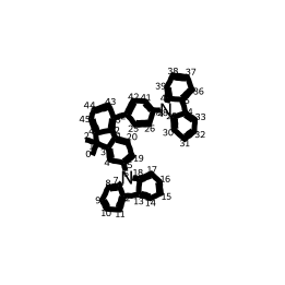 CC1(C)c2cc(-n3c4ccccc4c4ccccc43)ccc2-c2c(-c3ccc(-n4c5ccccc5c5ccccc54)cc3)cccc21